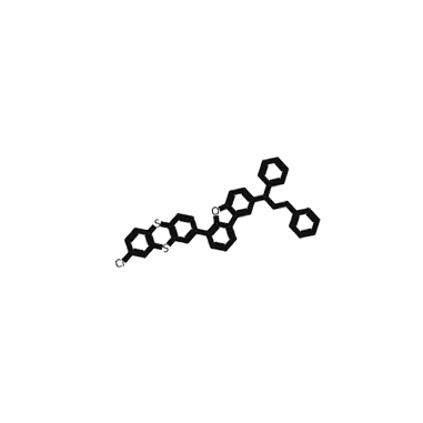 Clc1ccc2c(c1)Sc1cc(-c3cccc4c3oc3ccc(C(CCc5ccccc5)c5ccccc5)cc34)ccc1S2